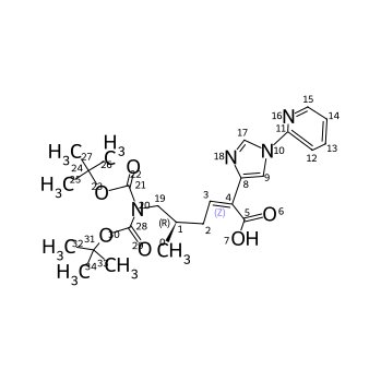 C[C@H](C/C=C(\C(=O)O)c1cn(-c2ccccn2)cn1)CN(C(=O)OC(C)(C)C)C(=O)OC(C)(C)C